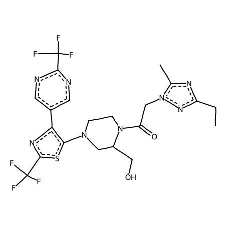 CCc1nc(C)n(CC(=O)N2CCN(c3sc(C(F)(F)F)nc3-c3cnc(C(F)(F)F)nc3)CC2CO)n1